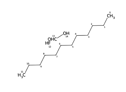 CCCCCCCCCCCC.F.O=CO